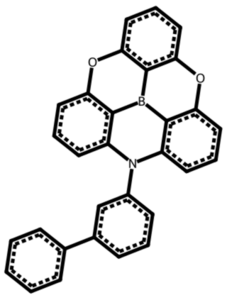 c1ccc(-c2cccc(N3c4cccc5c4B4c6c(cccc6Oc6cccc3c64)O5)c2)cc1